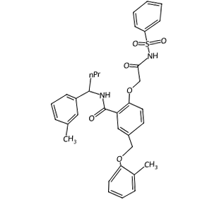 CCCC(NC(=O)c1cc(COc2ccccc2C)ccc1OCC(=O)NS(=O)(=O)c1ccccc1)c1cccc(C)c1